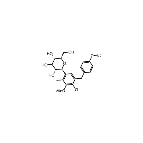 CCOc1ccc(Cc2cc([C@@H]3O[C@H](CO)[C@@H](O)[C@H](O)[C@H]3O)c(C)c(OC)c2Cl)cc1